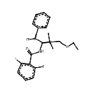 CCOCC(C)(C)C(NC(=O)c1c(F)cccc1F)C(Cl)c1ccccc1